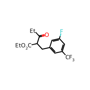 CCOC(=O)C(Cc1cc(F)cc(C(F)(F)F)c1)C(=O)CC